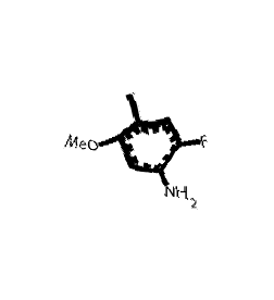 [CH2]c1cc(F)c(N)cc1OC